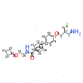 NCC(=CF)COc1ccc(C23CCC(C(=O)NCCOC4CCC4)(CC2)CC3)cc1